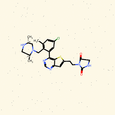 Cc1cc(Cl)cc(-c2ncnc3cc(CCN4C(=O)CNC4=O)sc23)c1CN1C[C@@H](C)NC[C@@H]1C